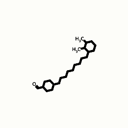 CC1CCCC(CCCCCCCCCC2CCC(C=O)CC2)C1C